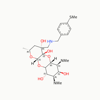 CN[C@@H]1[C@H](O)[C@H](NC)[C@H]2O[C@]3(O)[C@H](OC2[C@H]1O)O[C@H](C)C[C@@]3(O)CNCc1ccc(SC)cc1